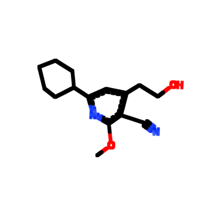 COc1nc(C2CCCCC2)cc(CCO)c1C#N